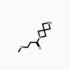 COCCC(=O)N1CC2(CNC2)C1